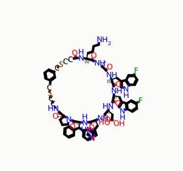 C[C@H]1NC(=O)[C@H](CCCCN)NC(=O)CCSCc2cccc(c2)CSCCNC(=O)[C@]2(C)CCCN2C(=O)[C@H](C(c2ccccc2)c2ccccc2)NC(=O)[C@H](Cc2cnc[nH]2)NC(=O)[C@H](CC(O)O)NC(=O)[C@H](Cc2c[nH]c3ccc(F)cc23)NC(=O)[C@H](Cc2c[nH]c3ccc(F)cc23)NC1=O